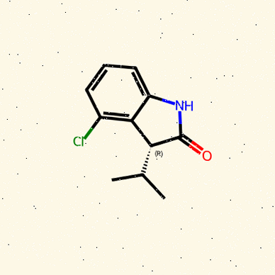 CC(C)[C@H]1C(=O)Nc2cccc(Cl)c21